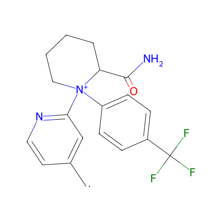 [CH2]c1ccnc([N+]2(c3ccc(C(F)(F)F)cc3)CCCCC2C(N)=O)c1